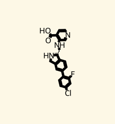 O=C(O)c1ccncc1NC[C@H]1NCc2cc(-c3ccc(Cl)cc3F)ccc21